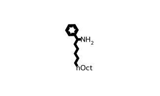 CCCCCCCCCCCCCC(N)c1ccccc1